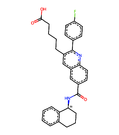 O=C(O)CCCCc1cc2cc(C(=O)N[C@H]3CCCc4ccccc43)ccc2nc1-c1ccc(F)cc1